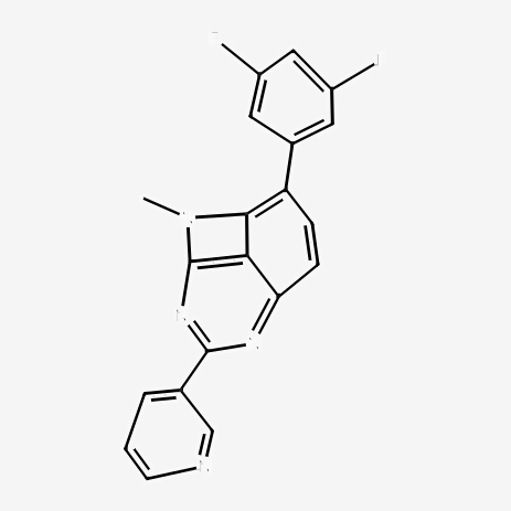 CN1c2nc(-c3cccnc3)nc3ccc(-c4cc(F)cc(F)c4)c1c23